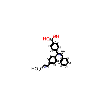 CC/C(=C(/c1ccc(/C=C/C(=O)O)cc1)c1ccc(B(O)O)cc1)c1ccccc1